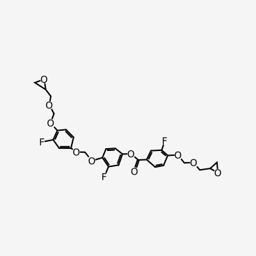 O=C(Oc1ccc(OCOc2ccc(OCOCC3CO3)c(F)c2)c(F)c1)c1ccc(OCOCC2CO2)c(F)c1